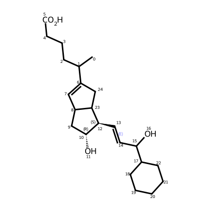 CC(CCCC(=O)O)C1=CC2C[C@@H](O)[C@H](/C=C/C(O)C3CCCCC3)C2C1